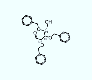 O=C[C@@H](OCc1ccccc1)[C@H](OCc1ccccc1)[C@@H](CO)OCc1ccccc1